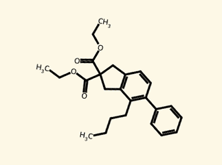 CCCCc1c(-c2ccccc2)ccc2c1CC(C(=O)OCC)(C(=O)OCC)C2